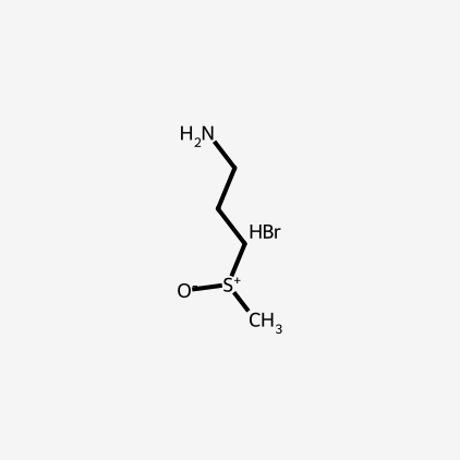 Br.C[S+]([O-])CCCN